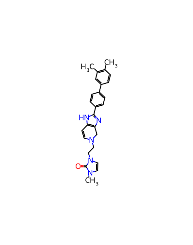 Cc1ccc(-c2ccc(-c3nc4c([nH]3)C=CN(CCn3ccn(C)c3=O)C4)cc2)cc1C